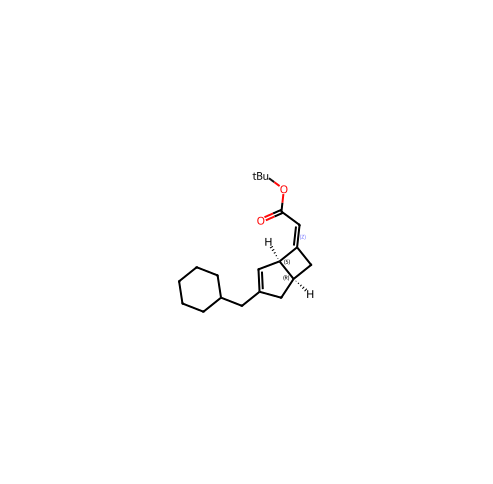 CC(C)(C)OC(=O)/C=C1/C[C@H]2CC(CC3CCCCC3)=C[C@@H]12